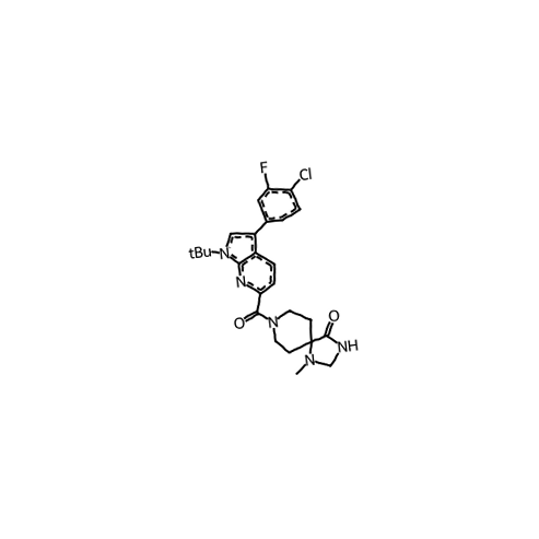 CN1CNC(=O)C12CCN(C(=O)c1ccc3c(-c4ccc(Cl)c(F)c4)cn(C(C)(C)C)c3n1)CC2